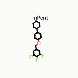 CCCCCC1CCC(c2ccc(OCc3cc(F)c(F)c(F)c3)cc2)CC1